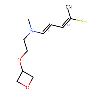 CN(/C=C/C=C(/S)C#N)CCOC1COC1